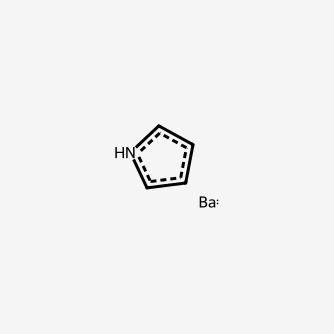 [Ba].c1cc[nH]c1